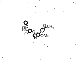 C=CC(=O)N1CCC(c2cc3c(Oc4ccc(NC(=O)Oc5ccccc5)c(Cl)c4)ccnc3cc2OC)CC1